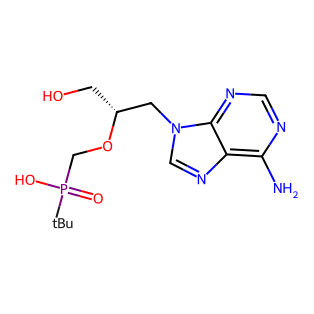 CC(C)(C)P(=O)(O)CO[C@H](CO)Cn1cnc2c(N)ncnc21